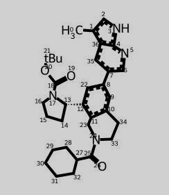 Cc1c[nH]c2ncc(-c3cc4c(c([C@@H]5CCCN5C(=O)OC(C)(C)C)c3)CN(C(=O)C3CCCCC3)CC4)cc12